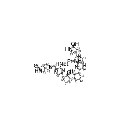 CCNc1nc(-c2cccc(-c3cccc(-c4cnc(CN5CC6(CNC(O)C6)C5)c(NCC)n4)c3Cl)c2Cl)cnc1CN1CC2(CNC(=O)C2)C1